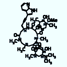 CO[C@]1(C)C[C@H](OC2C(C)C(=O)N[C@H](CC#Cc3c[nH]c4ncccc34)CC(=O)N(C)C[C@H](C)CC(C)(O)[C@H](OC3O[C@H](C)C[C@H](N(C)C)[C@H]3O)[C@H]2C)OC(C)[C@@H]1O